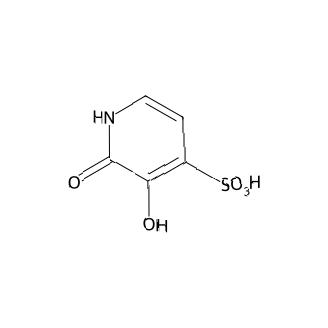 O=c1[nH]ccc(S(=O)(=O)O)c1O